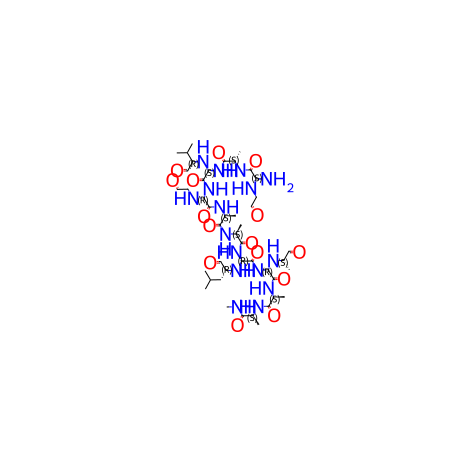 CNC(=O)[C@H](C)NC(=O)[C@H](C)NC(=O)[C@@H](NC(=O)[C@@H](NC(=O)[C@H](C)NC(=O)[C@H](C)NC(=O)[C@H](NCC=O)NC(=O)[C@H](NC(=O)[C@H](C)NC(=O)[C@@H](N)NCC=O)N[C@@H](C=O)C(C)C)N[C@@H](C=O)CC(C)C)N[C@@H](C)C=O